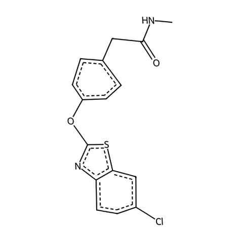 CNC(=O)Cc1ccc(Oc2nc3ccc(Cl)cc3s2)cc1